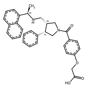 C[C@@H](NC[C@@H]1CN(C(=O)c2ccc(OCC(=O)O)cc2)C[C@@H]1c1ccccc1)c1cccc2ccccc12